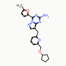 Cc1ccc(-c2nc(N)nc3c(Cc4cccc(COC5CCCC5)n4)cnn23)o1